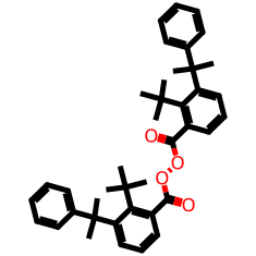 CC(C)(C)c1c(C(=O)OOC(=O)c2cccc(C(C)(C)c3ccccc3)c2C(C)(C)C)cccc1C(C)(C)c1ccccc1